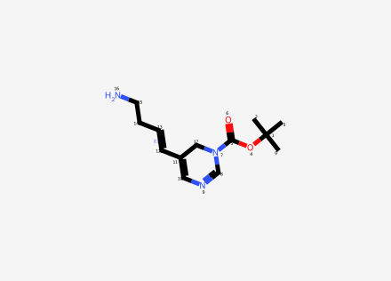 CC(C)(C)OC(=O)N1C=NC=C(/C=C/CCN)C1